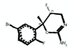 C[C@]1(c2cc(Br)ccc2F)OC(N)=NC[C@H]1F